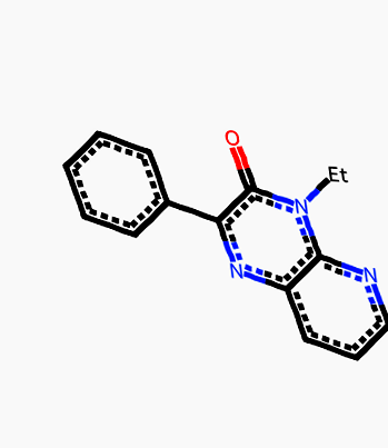 CCn1c(=O)c(-c2ccccc2)nc2cccnc21